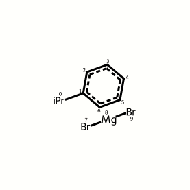 CC(C)c1c[c]ccc1.[Br][Mg][Br]